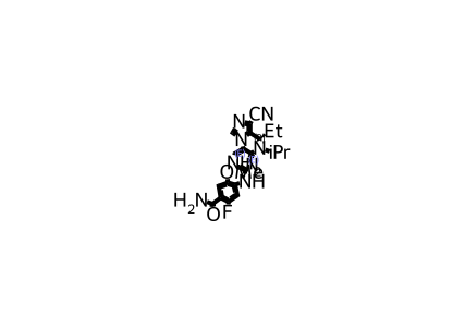 C=C(/N=C1\C(=C/N)n2cnc(C#N)c2[C@@H](CC)N1C(C)C)Nc1cc(F)c(C(N)=O)cc1OC